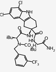 CCC(C)[C@H](NC(=O)[C@@]1(NC(=O)[C@H](C(C)CC)N(Cc2cccc(C(F)(F)F)c2)C(=O)O)CCc2[nH]c3c(Cl)cc(Cl)cc3c2C1)C(N)=O